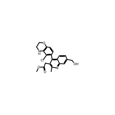 COC(=O)Cc1c(C)nc2cc(CO)ccc2c1-c1ccc2c(c1Cl)NCCO2